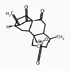 C=C1C(=O)[C@]23CC[C@H]1CC2[C@@]12CCCC(C)(COS(=O)OC1)C2CC3=O